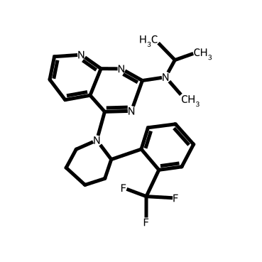 CC(C)N(C)c1nc(N2CCCCC2c2ccccc2C(F)(F)F)c2cccnc2n1